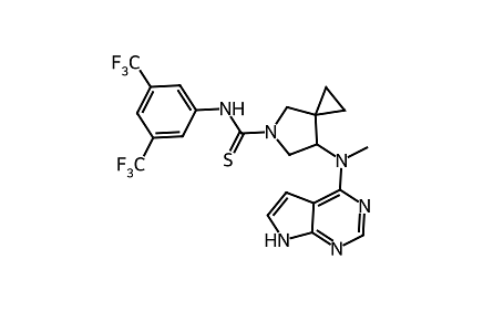 CN(c1ncnc2[nH]ccc12)C1CN(C(=S)Nc2cc(C(F)(F)F)cc(C(F)(F)F)c2)CC12CC2